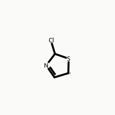 ClC1N=C[C]S1